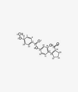 COc1ccc(C(=O)Oc2ccc3c4c(c(=O)oc3c2)CCC4)cc1